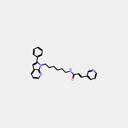 O=C(/C=C/c1cccnc1)NCCCCCCn1c(-c2ccccc2)cc2cccnc21